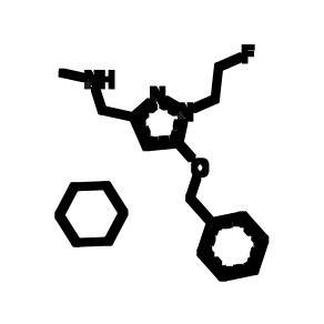 C1CCCCC1.CNCc1cc(OCc2ccccc2)n(CCF)n1